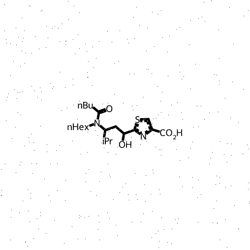 CCCCCCN(C(=O)CCCC)C(CC(O)c1nc(C(=O)O)cs1)C(C)C